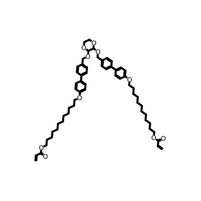 C=CC(=O)OCCCCCCCCCCCCOc1ccc(-c2ccc(COC3OCCOC3OCc3ccc(-c4ccc(OCCCCCCCCCCCCOC(=O)C=C)cc4)cc3)cc2)cc1